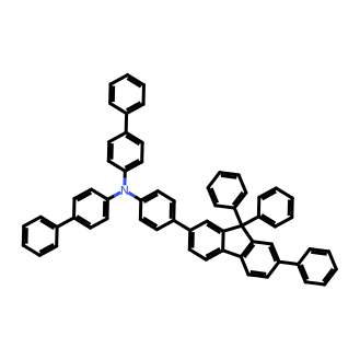 c1ccc(-c2ccc(N(c3ccc(-c4ccccc4)cc3)c3ccc(-c4ccc5c(c4)C(c4ccccc4)(c4ccccc4)c4cc(-c6ccccc6)ccc4-5)cc3)cc2)cc1